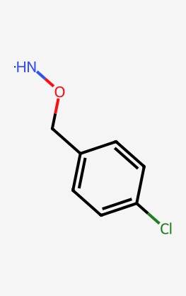 [NH]OCc1ccc(Cl)cc1